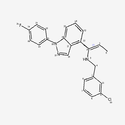 C/C=C(\NCc1cccc(Cl)c1)c1cccc2c1cnn2-c1ccc(F)cc1